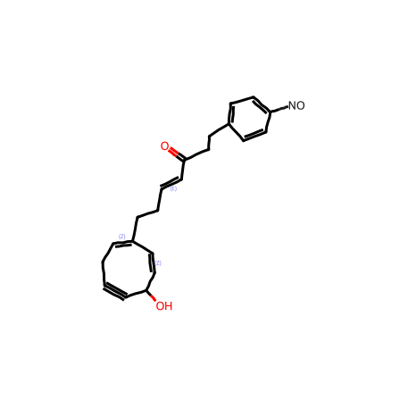 O=Nc1ccc(CCC(=O)/C=C/CCC2=C/CC#CC(O)/C=C\2)cc1